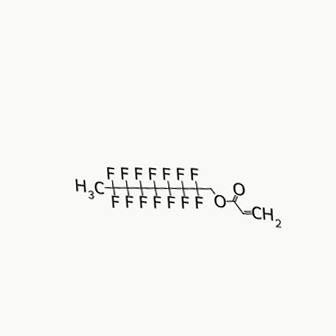 C=CC(=O)OCC(F)(F)C(F)(F)C(F)(F)C(F)(F)C(F)(F)C(F)(F)C(C)(F)F